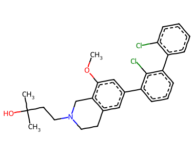 COc1cc(-c2cccc(-c3ccccc3Cl)c2Cl)cc2c1CN(CCC(C)(C)O)CC2